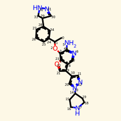 CC(Oc1c(N)ncc2c(-c3cnn(C4CCNCC4)c3)coc12)c1cccc(C2C=NNC2)c1